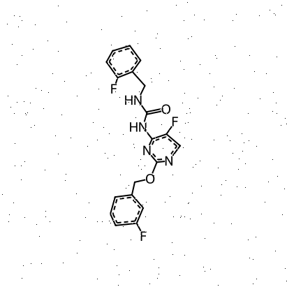 O=C(NCc1ccccc1F)Nc1nc(OCc2cccc(F)c2)ncc1F